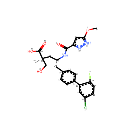 COc1cc(C(=O)N[C@H](Cc2ccc(-c3cc(Cl)ccc3F)cc2)C[C@@](C)(CO)C(=O)O)n[nH]1